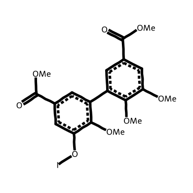 COC(=O)c1cc(OC)c(OC)c(-c2cc(C(=O)OC)cc(OI)c2OC)c1